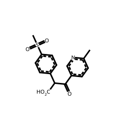 Cc1ccc(C(=O)C(C(=O)O)c2ccc(S(C)(=O)=O)cc2)cn1